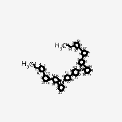 C/C=C/c1cccc(-c2cccc(-c3ccc4c(c3)c3ccccc3n4-c3ccc(-c4ccc(-n5c6ccccc6c6cc(-c7cccc(-c8cccc(/C=C/C)c8)c7)ccc65)cc4)cc3)c2)c1